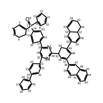 O=P(C1=CC=CCC1)(c1ccccc1)c1ccc(-c2cc(-c3ccc(-c4ccccc4)cc3)nc(C3C=C(c4ccc5ccccc5c4)C=C(C4=CC5C=CCCC5C=C4)C3)n2)cc1